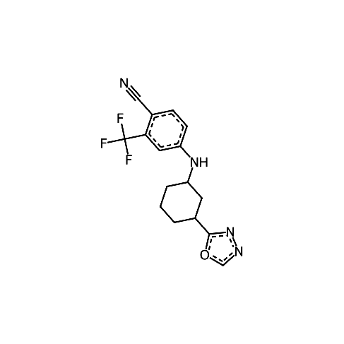 N#Cc1ccc(NC2CCCC(c3nnco3)C2)cc1C(F)(F)F